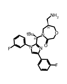 CC(C)(C)[C@H](c1nc(-c2cccc(F)c2)cn1-c1cccc(F)c1)N1C[C@@H](CN)COCC1=O